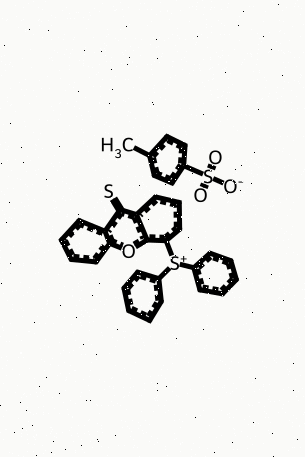 Cc1ccc(S(=O)(=O)[O-])cc1.S=c1c2ccccc2oc2c([S+](c3ccccc3)c3ccccc3)cccc12